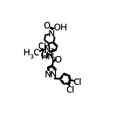 CC(C)(C)N1C(NC(=O)c2cnn(Cc3ccc(Cl)c(Cl)c3)c2)=CC=C2CN(C(=O)O)CCC21